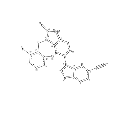 N#Cc1ccc2ncn(-c3ncc4[nH]c(=O)n(Cc5c(F)cccc5Cl)c4n3)c2c1